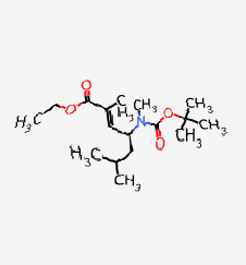 CCOC(=O)C(C)=C[C@H](CC(C)C)N(C)C(=O)OC(C)(C)C